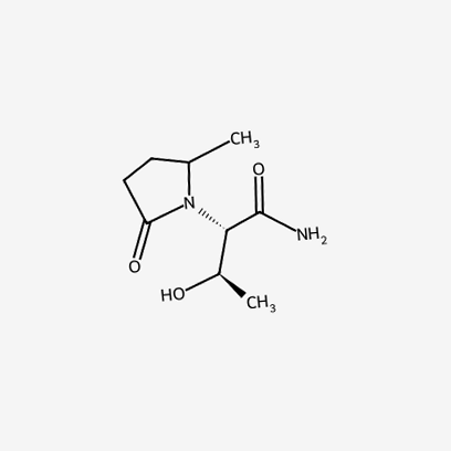 CC1CCC(=O)N1[C@H](C(N)=O)[C@@H](C)O